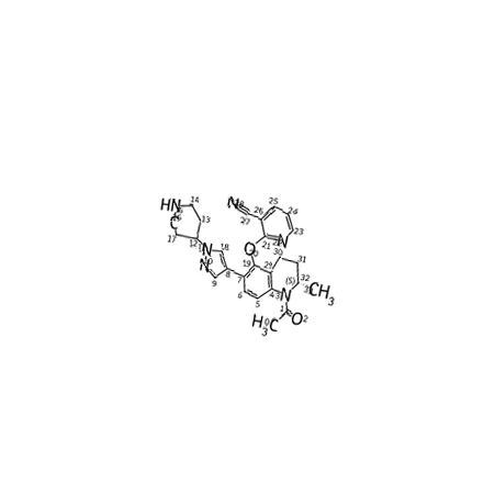 CC(=O)N1c2ccc(-c3cnn(C4CCNCC4)c3)c(Oc3ncccc3C#N)c2CC[C@@H]1C